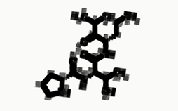 CC(C)C(=O)[C@H](CCN)NC(=O)[C@@H](NC(=O)[C@H]1CCCN1)C(C)O